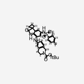 CC(C)(C)OC(=O)N1CCc2cc(Nc3cc(NS(=O)(=O)c4ccc(F)cc4F)cc4c3NC(=O)C43CCC3)ccc2C1